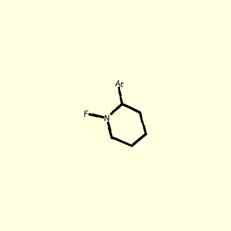 CC(=O)C1CCCCN1F